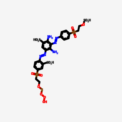 Nc1c(/N=N/c2ccc(S(=O)(=O)CCOSOOO)cc2S(=O)(=O)O)cc(S(=O)(=O)O)c(N)c1/N=N/c1ccc(S(=O)(=O)CCOS(=O)(=O)O)cc1